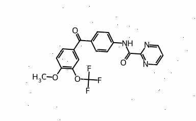 COc1ccc(C(=O)c2ccc(NC(=O)c3ncccn3)cc2)cc1OC(F)(F)F